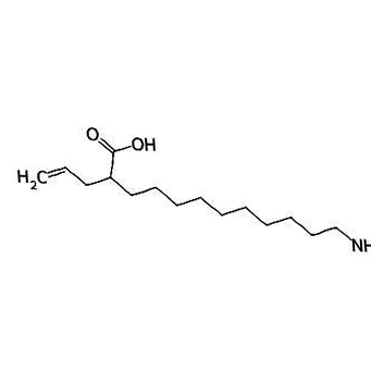 C=CCC(CCCCCCCCCCN)C(=O)O